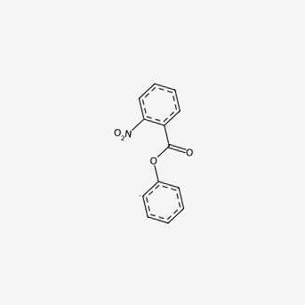 O=C(Oc1[c]cccc1)c1ccccc1[N+](=O)[O-]